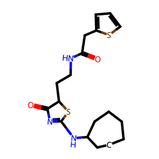 O=C(Cc1cccs1)NCCC1SC(NC2CCCCCC2)=NC1=O